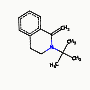 C=C1c2ccccc2CCN1C(C)(C)C